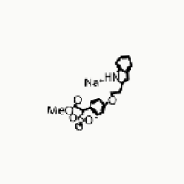 COC(=O)C(c1ccc(OCCc2cc3ccccc3[nH]2)cc1)S(=O)(=O)[O-].[Na+]